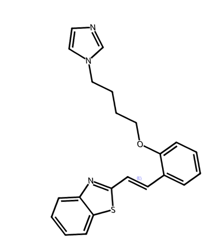 C(=C\c1ccccc1OCCCCn1ccnc1)/c1nc2ccccc2s1